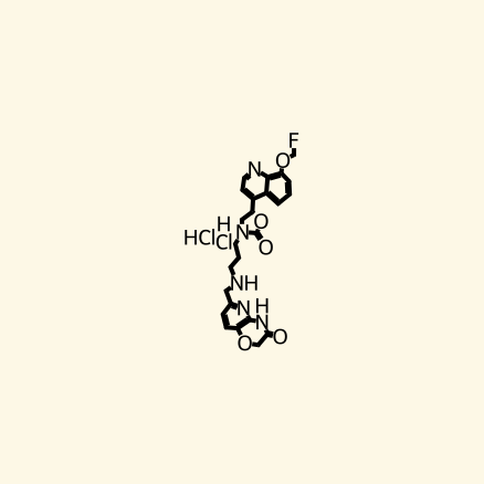 Cl.Cl.O=C1COc2ccc(CNCCCN3CC(c4ccnc5c(OCF)cccc45)OC3=O)nc2N1